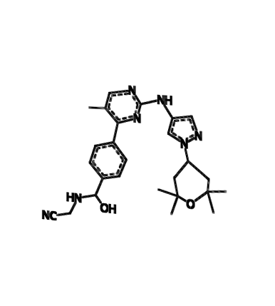 Cc1cnc(Nc2cnn(C3CC(C)(C)OC(C)(C)C3)c2)nc1-c1ccc(C(O)NCC#N)cc1